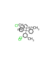 CCCC1=CC=C[C]1([Ti+3])C(c1cccc(C)c1)(c1cccc(C)c1)c1cccc(C)c1.[Cl-].[Cl-].[Cl-]